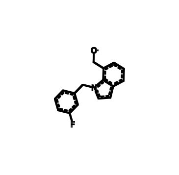 [O]Cc1cccc2ccn(Cc3cccc(F)c3)c12